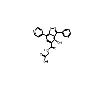 O=C(O)CNC(=O)c1nc(-c2ccncc2)c2snc(-c3ccccc3)c2c1O